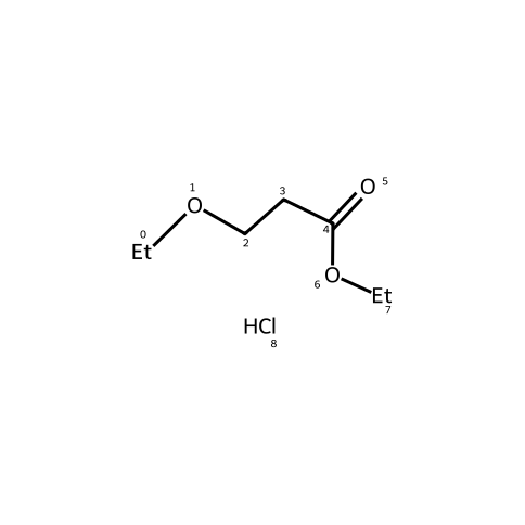 CCOCCC(=O)OCC.Cl